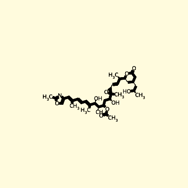 CC(=O)OC(C[C@H](O)C1(C)O[C@@H]1/C=C/[C@@H](C)[C@H]1C[C@@H](C[C@@H](C)O)CC(=O)O1)[C@H](C)[C@@H](O)/C(C)=C/C=C/C(C)=C/c1coc(C)n1